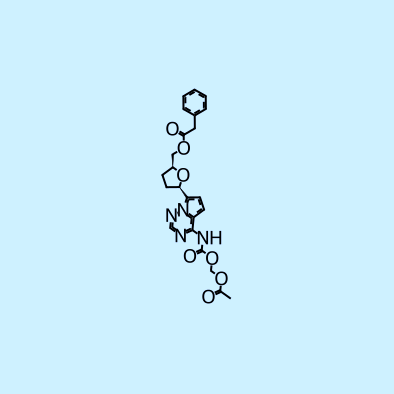 CC(=O)OCOC(=O)Nc1ncnn2c([C@H]3CC[C@@H](COC(=O)Cc4ccccc4)O3)ccc12